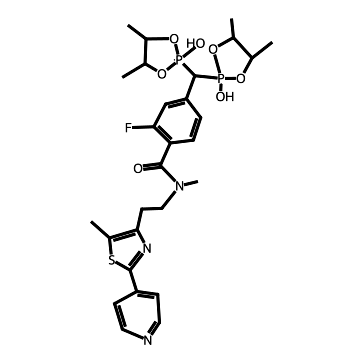 Cc1sc(-c2ccncc2)nc1CCN(C)C(=O)c1ccc(C([P]2(O)OC(C)C(C)O2)[P]2(O)OC(C)C(C)O2)cc1F